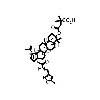 C=C(C)[C@@H]1CC[C@]2(CC(=O)NCc3cc(C)on3)CC[C@]3(C)[C@H](CC[C@@H]4[C@@]5(C)CC[C@H](OC(=O)CC(C)(C)C(=O)O)C(C)(C)[C@@H]5CC[C@]43C)[C@@H]12